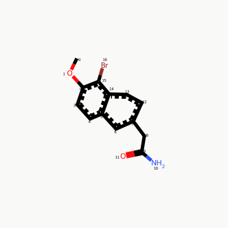 COc1ccc2cc(CC(N)=O)ccc2c1Br